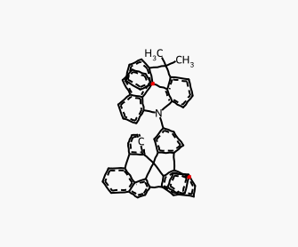 CC1(C)c2ccccc2-c2c(N(c3ccc4c(c3)C3(c5ccccc5-4)c4ccccc4-c4cccc5ccc(-c6ccccc6)c3c45)c3cccc4ccccc34)cccc21